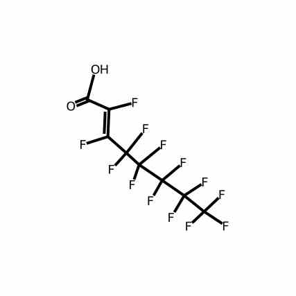 O=C(O)C(F)=C(F)C(F)(F)C(F)(F)C(F)(F)C(F)(F)C(F)(F)F